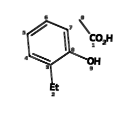 CC(=O)O.CCc1ccccc1O